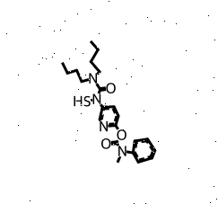 CCCCN(CCCC)C(=O)N(S)c1ccc(OC(=O)N(C)c2ccccc2)nc1